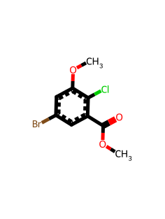 COC(=O)c1cc(Br)cc(OC)c1Cl